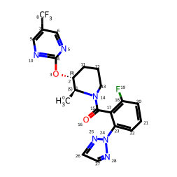 C[C@H]1[C@H](Oc2ncc(C(F)(F)F)cn2)CCCN1C(=O)c1c(F)cccc1-n1nccn1